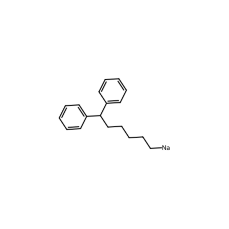 [Na][CH2]CCCCC(c1ccccc1)c1ccccc1